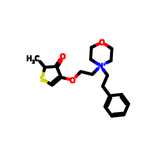 CC1SC=C(OCC[N+]2(CCc3ccccc3)CCOCC2)C1=O